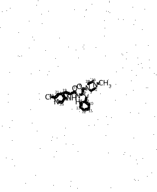 CN1CCN(C(=O)[C@H](Cc2ccccc2)NC(=O)c2cc3cc(Cl)ncc3[nH]2)CC1